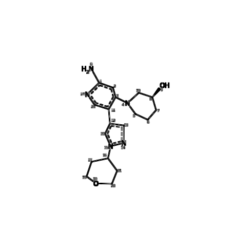 Nc1cc(N2CCC[C@H](O)C2)c(-c2cnn(C3CCOCC3)c2)cn1